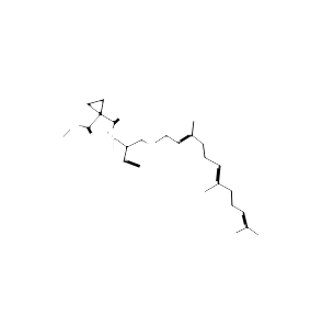 C=CC(CSC/C=C(\C)CC/C=C(\C)CCC=C(C)C)NC(=O)C1(C(=O)OC)CC1